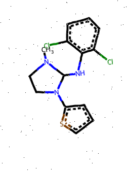 CN1CCN(c2cccs2)C1Nc1c(Cl)cccc1Cl